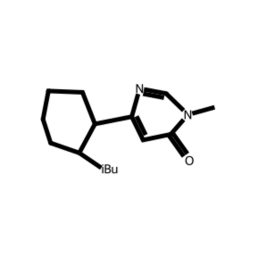 CCC(C)C1CCCCC1c1cc(=O)n(C)cn1